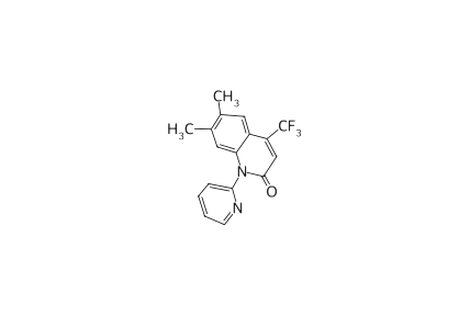 Cc1cc2c(C(F)(F)F)cc(=O)n(-c3ccccn3)c2cc1C